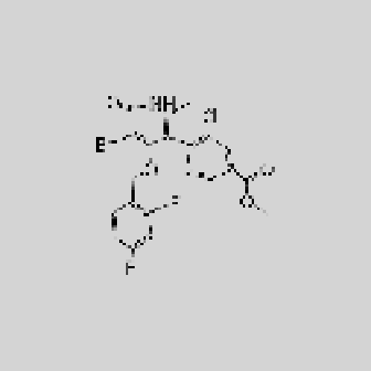 COC(=O)c1ccc(-c2c(C)[nH]c(=O)c(Br)c2OCc2ccc(F)cc2F)c(Cl)c1